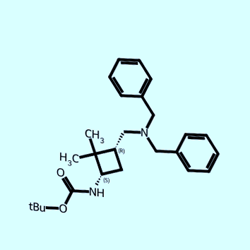 CC(C)(C)OC(=O)N[C@H]1C[C@@H](CN(Cc2ccccc2)Cc2ccccc2)C1(C)C